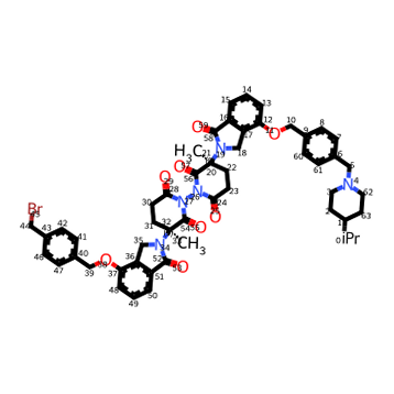 CC(C)C1CCN(Cc2ccc(COc3cccc4c3CN([C@@]3(C)CCC(=O)N(N5C(=O)CC[C@](C)(N6Cc7c(OCc8ccc(CBr)cc8)cccc7C6=O)C5=O)C3=O)C4=O)cc2)CC1